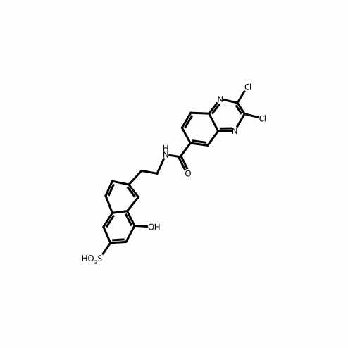 O=C(NCCc1ccc2cc(S(=O)(=O)O)cc(O)c2c1)c1ccc2nc(Cl)c(Cl)nc2c1